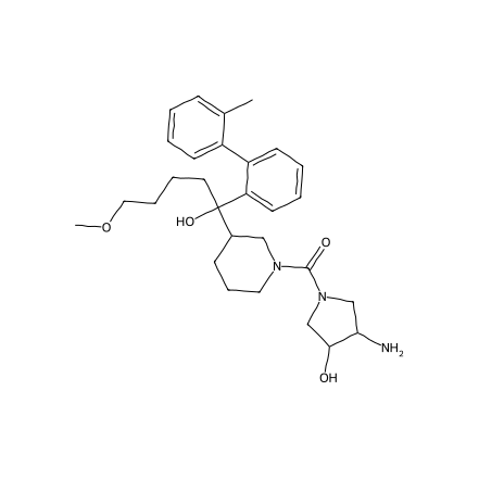 COCCCCC(O)(c1ccccc1-c1ccccc1C)C1CCCN(C(=O)N2CC(N)C(O)C2)C1